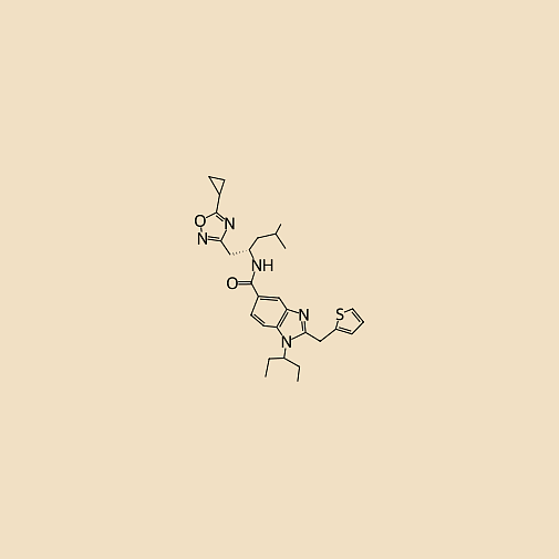 CCC(CC)n1c(Cc2cccs2)nc2cc(C(=O)N[C@H](Cc3noc(C4CC4)n3)CC(C)C)ccc21